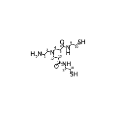 NCCN(CCC(=O)NCCS)CCC(=O)NCCS